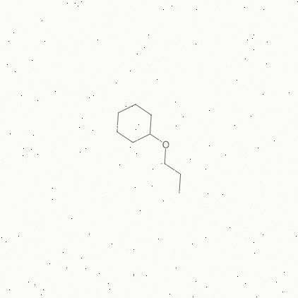 CC[CH]OC1CCCCC1